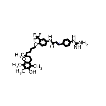 Cc1c(C)c2c(c(C)c1O)CCC(C)(CCCCOc1ccc(NC(=O)/C=C/c3ccc(NC(=N)N)cc3)cc1C(F)(F)F)O2